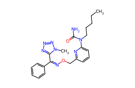 CCCCCN(C(N)=O)c1cccc(CO/N=C(/c2ccccc2)c2nnnn2C)n1